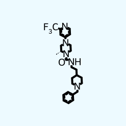 C[C@@H]1CN(c2ccnc(C(F)(F)F)c2)CCN1C(=O)NCCC1CCN(Cc2ccccc2)CC1